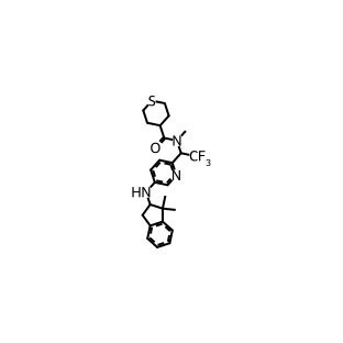 CN(C(=O)C1CCSCC1)C(c1ccc(NC2Cc3ccccc3C2(C)C)cn1)C(F)(F)F